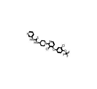 FC(F)(F)Oc1ccc(Oc2ccnc(N3CCC(NC(=S)Nc4cccnc4)CC3)c2Cl)cc1Cl